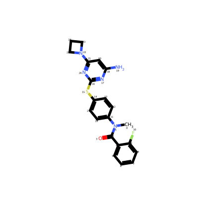 CN(C(=O)c1ccccc1F)c1ccc(Sc2nc(N)cc(N3CCC3)n2)cc1